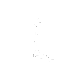 COc1ccc2nccc(CCC[C@@H]3CCN(CCSc4ccsc4)C[C@@H]3C(=O)O)c2c1